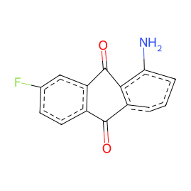 Nc1cccc2c1C(=O)c1cc(F)ccc1C2=O